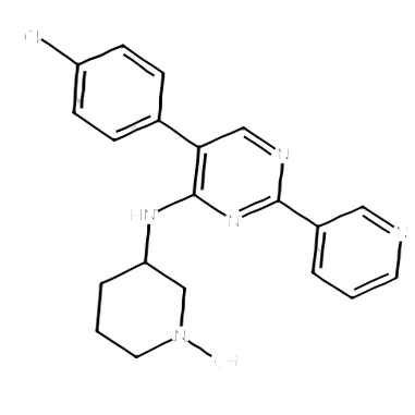 CN1CCCC(Nc2nc(-c3cccnc3)ncc2-c2ccc(Cl)cc2)C1